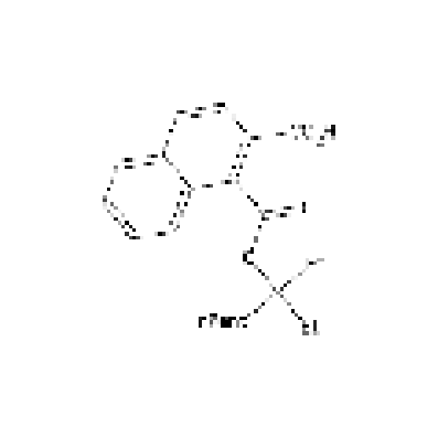 CCCCCC(CC)(CC)OC(=O)c1c(C(=O)O)ccc2ccccc12